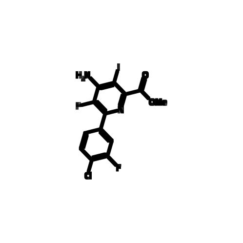 COC(=O)c1nc(-c2ccc(Cl)c(F)c2)c(F)c(N)c1I